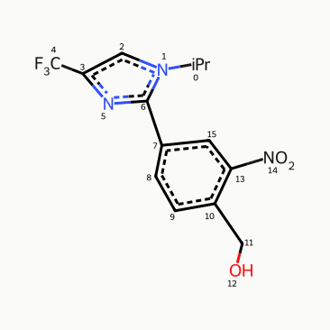 CC(C)n1cc(C(F)(F)F)nc1-c1ccc(CO)c([N+](=O)[O-])c1